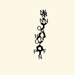 N#Cc1c(F)cc([C@@H]2CN3CCN(C(=O)Cc4cnc(-n5cnnn5)nc4)C[C@@H]3CO2)cc1F